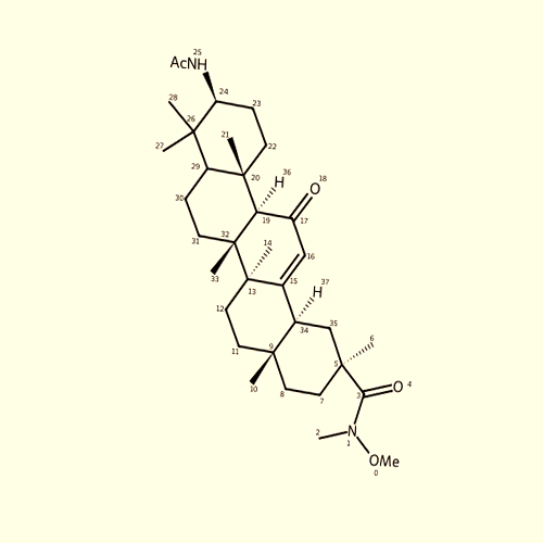 CON(C)C(=O)[C@@]1(C)CC[C@]2(C)CC[C@]3(C)C(=CC(=O)[C@@H]4[C@@]5(C)CC[C@H](NC(C)=O)C(C)(C)C5CC[C@]43C)[C@H]2C1